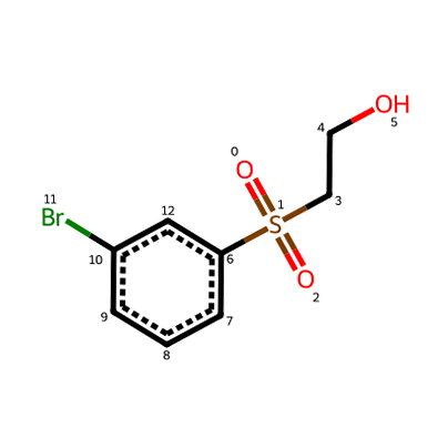 O=S(=O)(CCO)c1cccc(Br)c1